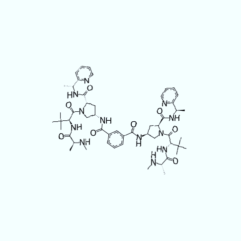 CN[C@@H](C)C(=O)N[C@H](C(=O)N1C[C@@H](NC(=O)c2cccc(C(=O)N[C@H]3C[C@@H](C(=O)N[C@H](C)c4ccccn4)N(C(=O)[C@@H](NC(=O)[C@H](C)NC)C(C)(C)C)C3)c2)C[C@H]1C(=O)N[C@H](C)c1ccccn1)C(C)(C)C